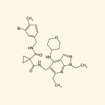 CCc1nc2c(cnn2CC)c(NC2CCOCC2)c1CNC(=O)C1(C(=O)NCc2ccc(C)c(Br)c2)CC1